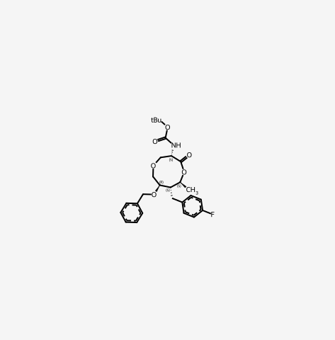 C[C@@H]1OC(=O)[C@@H](NC(=O)OC(C)(C)C)COC[C@H](OCc2ccccc2)[C@H]1Cc1ccc(F)cc1